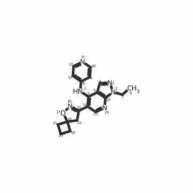 CCn1ncc2c(Nc3ccncc3)c(C3=NOC4(CCC4)C3)cnc21